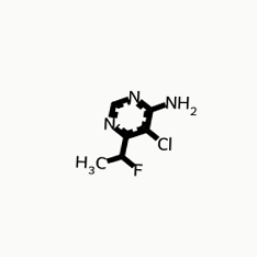 CC(F)c1ncnc(N)c1Cl